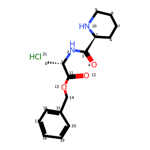 C[C@H](NC(=O)[C@@H]1CCCCN1)C(=O)OCc1ccccc1.Cl